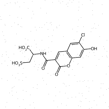 O=C(NC(CS(=O)(=O)O)C(=O)O)c1cc2cc(Cl)c(O)cc2oc1=O